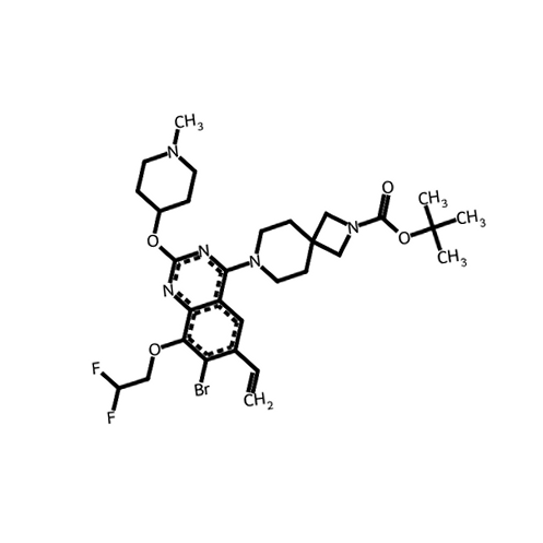 C=Cc1cc2c(N3CCC4(CC3)CN(C(=O)OC(C)(C)C)C4)nc(OC3CCN(C)CC3)nc2c(OCC(F)F)c1Br